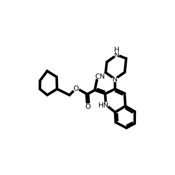 N#C/C(C(=O)OCC1CCCCC1)=C1/Nc2ccccc2C=C1N1CCNCC1